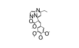 CCc1cc(/C(=C/c2cc(OC)c(OC)c(OC)c2)C(=O)OC)n2nccc2n1